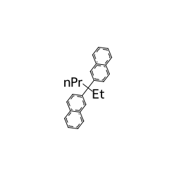 [CH2]CC(CCC)(c1ccc2ccccc2c1)c1ccc2ccccc2c1